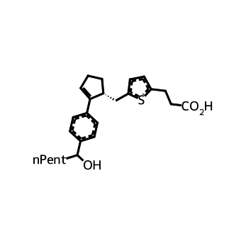 CCCCCC(O)c1ccc(C2=CCC[C@@H]2Cc2ccc(CCC(=O)O)s2)cc1